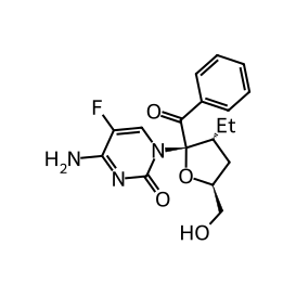 CC[C@@H]1C[C@@H](CO)O[C@@]1(C(=O)c1ccccc1)n1cc(F)c(N)nc1=O